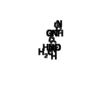 C=C1NC(=O)C2(CCc3cc(C(=O)NCc4cccc5ncccc45)ccc3C2)N1